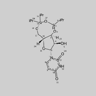 CC(C)[SiH]1O[C@H]2[C@@H](O)[C@H](n3ccc(=O)[nH]c3=O)O[C@@H]2CO[Si](C(C)C)(C(C)C)O1